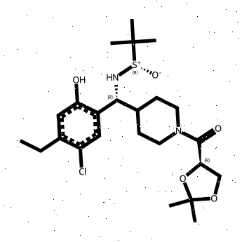 CCc1cc(O)c([C@H](N[S@@+]([O-])C(C)(C)C)C2CCN(C(=O)[C@H]3COC(C)(C)O3)CC2)cc1Cl